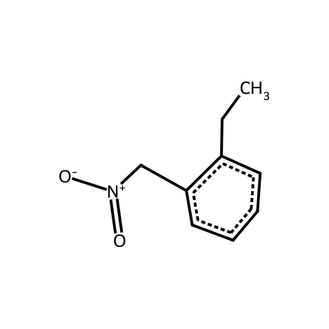 CCc1ccccc1C[N+](=O)[O-]